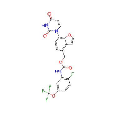 O=C(Nc1cc(OC(F)(F)F)ccc1F)OCc1ccc(-n2ccc(=O)[nH]c2=O)c2occc12